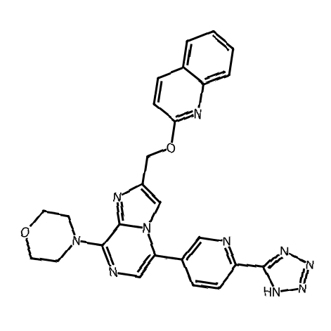 c1ccc2nc(OCc3cn4c(-c5ccc(-c6nnn[nH]6)nc5)cnc(N5CCOCC5)c4n3)ccc2c1